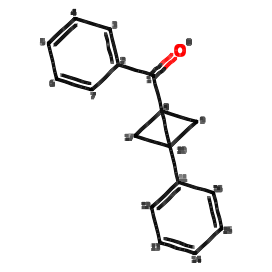 O=C(c1ccccc1)C12CC1(c1ccccc1)C2